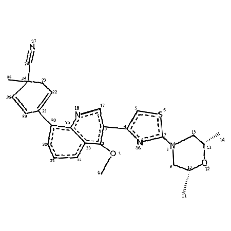 COc1c(-c2csc(N3C[C@@H](C)O[C@@H](C)C3)n2)cnc2c(C3=CCC(C)(C#N)C=C3)cccc12